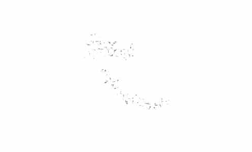 COc1cc2c(cc1OCCCC(=O)Nc1cc(C(=O)Nc3ccc(-c4cc(C(=O)Nc5ccc(NC(=O)[C@H](C)NC(=O)[C@@H](N)C(C)C)cc5)n(C)c4)cc3)n(C)c1)N(C(=O)OCc1ccc(O[C@@H]3O[C@H](C(=O)O)[C@@H](O)[C@H](O)[C@H]3O)c([N+](=O)[O-])c1)C(O)[C@@H]1CCCCN1C2=O